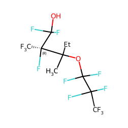 CCC(C)(OC(F)(F)C(F)(F)C(F)(F)F)[C@@](F)(C(O)(F)F)C(F)(F)F